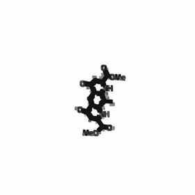 COC(=O)c1cc(=O)c2cc3c(=O)cc(C(=O)OC)[nH]c3c(C)c2[nH]1